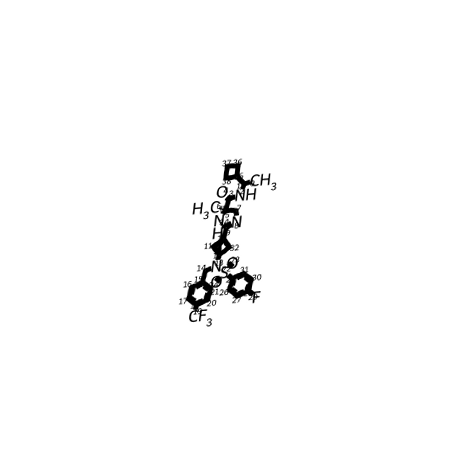 CC(NC(=O)[C@@]1(C)CN=C(C23CC(N(Cc4ccc(C(F)(F)F)cc4)S(=O)(=O)c4ccc(F)cc4)(C2)C3)N1)C1CCC1